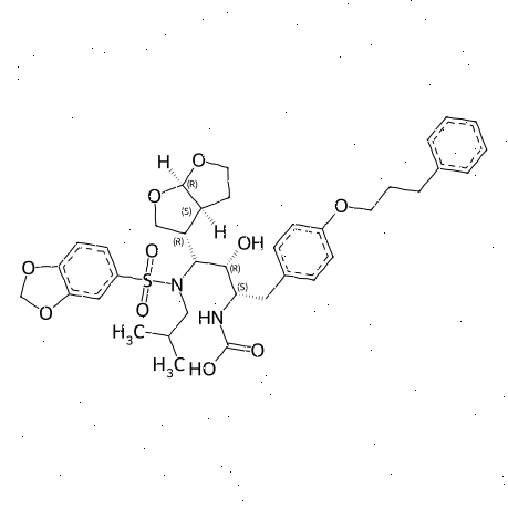 CC(C)CN(C([C@H](O)[C@H](Cc1ccc(OCCCc2ccccc2)cc1)NC(=O)O)[C@@H]1CO[C@H]2OCC[C@H]21)S(=O)(=O)c1ccc2c(c1)OCO2